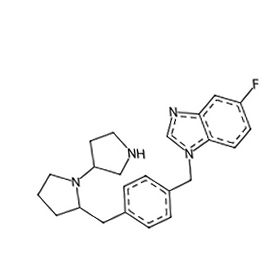 Fc1ccc2c(c1)ncn2Cc1ccc(CC2CCCN2C2CCNC2)cc1